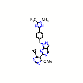 COc1ncnc(C2CC2)c1-c1ncc2cnn(Cc3ccc(-c4nc(C(F)(F)F)n(C)n4)cc3)c2n1